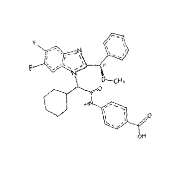 CO[C@H](c1ccccc1)c1nc2cc(F)c(F)cc2n1C(C(=O)Nc1ccc(C(=O)O)cc1)C1CCCCC1